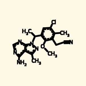 COc1c(C(C)n2nc(C)c3c(N)ncnc32)cc(Cl)c(C)c1CC#N